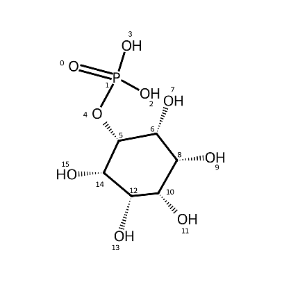 O=P(O)(O)O[C@@H]1[C@H](O)[C@H](O)[C@H](O)[C@H](O)[C@@H]1O